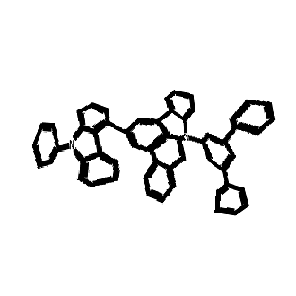 c1ccc(-c2cc(-c3ccccc3)cc(N(c3ccc4ccccc4c3)c3ccccc3-c3cccc(-c4cccc5c4c4ccccc4n5-c4ccccc4)c3)c2)cc1